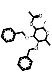 CC(=O)OC1[C@H](C)OC(C)[C@@H](OCc2ccccc2)[C@@H]1OCc1ccccc1